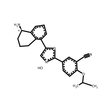 CC(C)Oc1ccc(-c2ncc(-c3cccc4c3CCC[C@H]4N)s2)cc1C#N.Cl